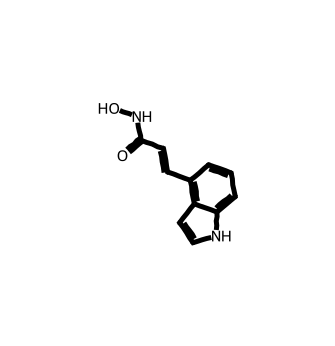 O=C(C=Cc1cccc2[nH]ccc12)NO